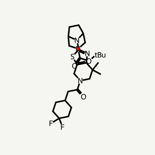 CC(C)(C)OC(=O)N1CC2CCC(C1)N2c1nc2c(s1)CN(C(=O)CC1CCC(F)(F)CC1)CC2(C)C